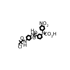 CC(C)(CCl)C(=O)Nc1ccc(NS(=O)(=O)c2cccc(N(C(=O)O)c3ccc([N+](=O)[O-])cc3)c2)cc1